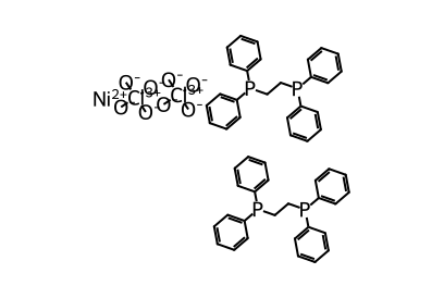 [Ni+2].[O-][Cl+3]([O-])([O-])[O-].[O-][Cl+3]([O-])([O-])[O-].c1ccc(P(CCP(c2ccccc2)c2ccccc2)c2ccccc2)cc1.c1ccc(P(CCP(c2ccccc2)c2ccccc2)c2ccccc2)cc1